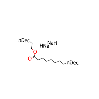 CCCCCCCCCCCCCCCCCC(=O)OCCCCCCCCCCCC.[NaH].[NaH]